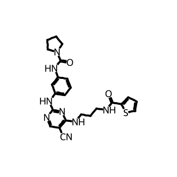 N#Cc1cnc(Nc2cccc(NC(=O)N3CCCC3)c2)nc1NCCCNC(=O)c1cccs1